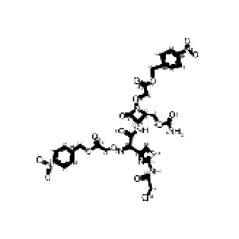 NC(=O)OC[C@H]1[C@H](NC(=O)C(=NOCC(=O)OCc2ccc([N+](=O)[O-])cc2)c2csc(NC(=O)CCl)n2)C(=O)N1OCC(=O)OCc1ccc([N+](=O)[O-])cc1